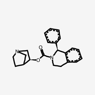 O=C(O[C@@H]1CN2CCC1C2)N1CCc2ccccc2[C@@H]1c1ccccc1